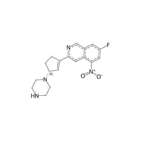 O=[N+]([O-])c1cc(F)cc2cnc(C3=C[C@H](N4CCNCC4)CC3)cc12